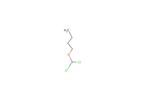 CCCC[O][V]([Cl])[Cl]